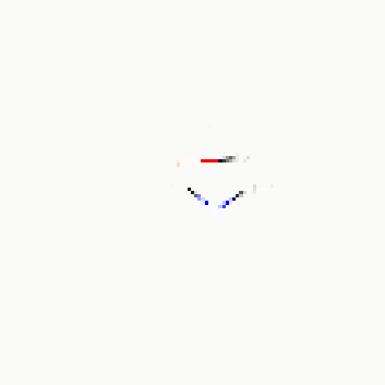 CCCCCNCCCCC.O=[N+]([O-])O.[Pd]